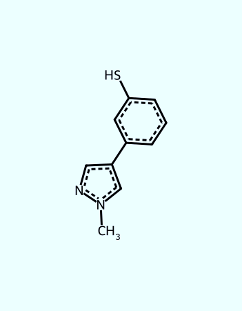 Cn1cc(-c2cccc(S)c2)cn1